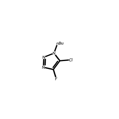 CCCCn1nnc(F)c1Cl